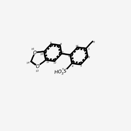 Cc1ccc(S(=O)(=O)O)c(-c2ccc3c(c2)OCO3)c1